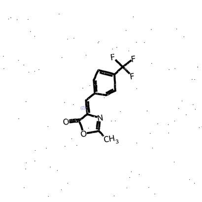 CC1=N/C(=C\c2ccc(C(F)(F)F)cc2)C(=O)O1